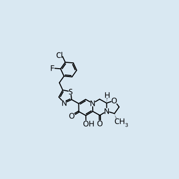 C[C@H]1CO[C@@H]2Cn3cc(-c4ncc(Cc5cccc(Cl)c5F)s4)c(=O)c(O)c3C(=O)N12